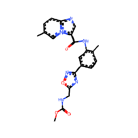 COC(=O)NCc1nc(-c2ccc(C)c(NC(=O)c3cnc4ccc(C)cn34)c2)no1